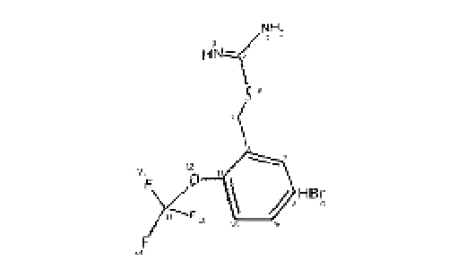 Br.N=C(N)SCc1ccccc1OC(F)(F)F